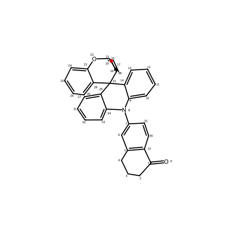 O=C1CCCc2cc(N3c4ccccc4C4(c5ccccc5Oc5ccccc54)c4ccccc43)ccc21